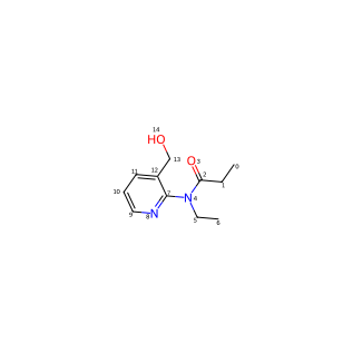 CCC(=O)N(CC)c1ncccc1CO